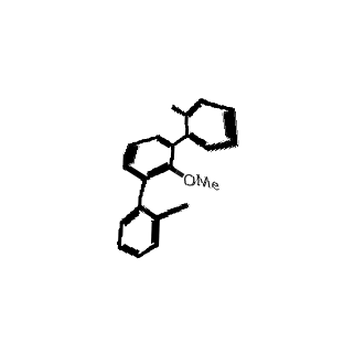 COc1c(-c2ccccc2C)cccc1-c1ccccc1C